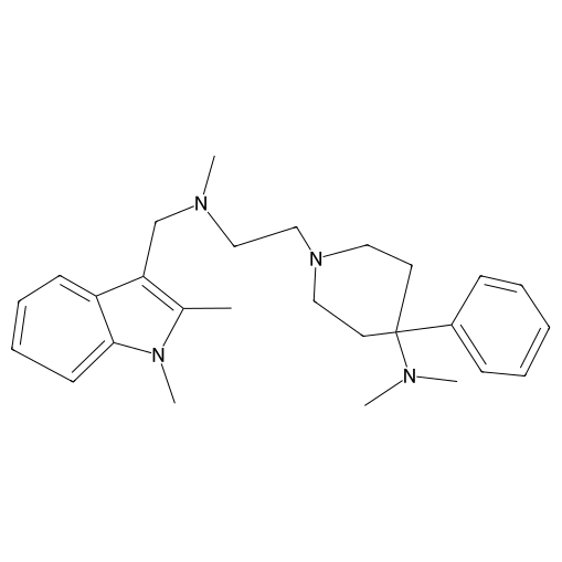 Cc1c(CN(C)CCN2CCC(c3ccccc3)(N(C)C)CC2)c2ccccc2n1C